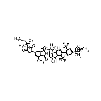 C=CCC(C)(CC)c1ccc(-c2ccc(C(CC)(CC)C(CCC)(C(C)C)N3C(=O)C4CC(C5CC(=O)N(C(C)(C)CCC)C5=O)C=C(C)C4C3=O)cc2C(F)(F)F)c(C(F)(F)F)c1